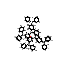 c1ccc(B(c2ccccc2)c2ccc3c(c2)c2ccc4c5cc(B(c6ccccc6)c6ccccc6)ccc5n(-c5cccc(B(c6ccccc6)c6ccccc6)n5)c4c2n3-c2cccc(B(c3ccccc3)c3ccccc3)n2)cc1